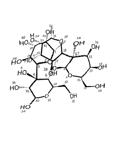 C[C@@H]1OC([C@]2(O)[C@H](O[C@@H]3O[C@H](CO)[C@H](O)[C@H](O)[C@]3(O)C3O[C@@H](C)[C@@H](O)[C@@H](O)[C@@H]3O)[C@@H](CO)OC(O)[C@@H]2O)[C@@H](O)[C@H](O)[C@@H]1O